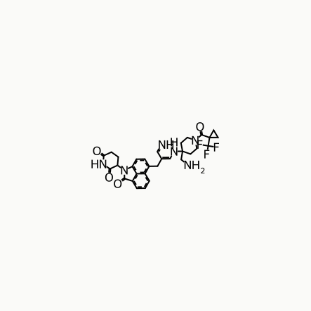 N=C/C(=C\NC1(CN)CCN(C(=O)C2(C(F)(F)F)CC2)CC1)Cc1ccc2c3c(cccc13)C(=O)N2C1CCC(=O)NC1=O